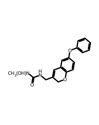 CN(O)C(=O)NCC1=Cc2cc(Oc3ccccc3)ccc2OC1